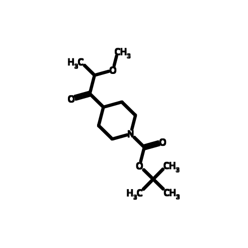 COC(C)C(=O)C1CCN(C(=O)OC(C)(C)C)CC1